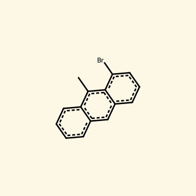 Cc1c2ccccc2cc2cccc(Br)c12